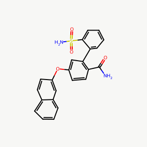 NC(=O)c1ccc(Oc2ccc3ccccc3c2)cc1-c1ccccc1S(N)(=O)=O